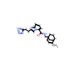 CC1=CCC2(CNC(=O)c3cccc4nc(CCc5nnn[nH]5)cn34)CCCC1C2